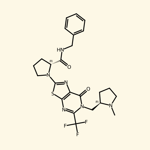 CN1CCC[C@@H]1Cn1c(C(F)(F)F)nc2sc(N3CCC[C@@H]3C(=O)NCc3ccccc3)nc2c1=O